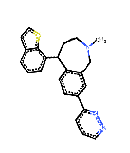 CN1CCC(c2cccc3ccsc23)c2ccc(-c3cccnn3)cc2C1